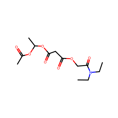 CCN(CC)C(=O)COC(=O)CC(=O)OC(C)OC(C)=O